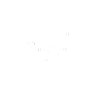 CCCCCN.COS(=O)(=O)O